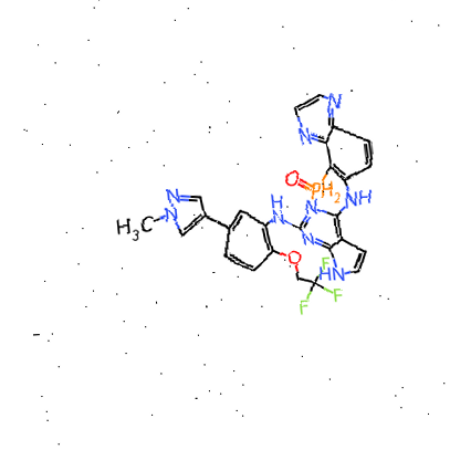 Cn1cc(-c2ccc(OCC(F)(F)F)c(Nc3nc(Nc4ccc5nccnc5c4[PH2]=O)c4cc[nH]c4n3)c2)cn1